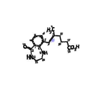 C/C(=C\c1cccc2c1NCCNC2=O)CCCC(=O)O